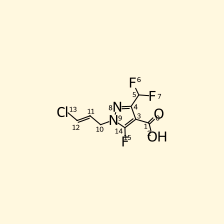 O=C(O)c1c(C(F)F)nn(CC=CCl)c1F